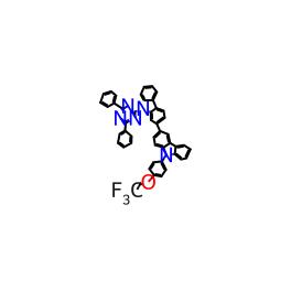 FC(F)(F)COc1ccc(-n2c3ccccc3c3cc(-c4ccc5c6ccccc6n(-c6nc(-c7ccccc7)nc(-c7ccccc7)n6)c5c4)ccc32)cc1